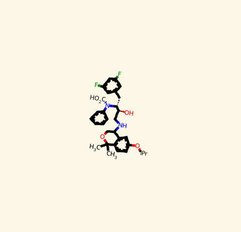 CC(C)Oc1ccc2c(c1)C(NC[C@H](O)[C@@H](Cc1cc(F)cc(F)c1)N(C(=O)O)c1ccccc1)COC2(C)C